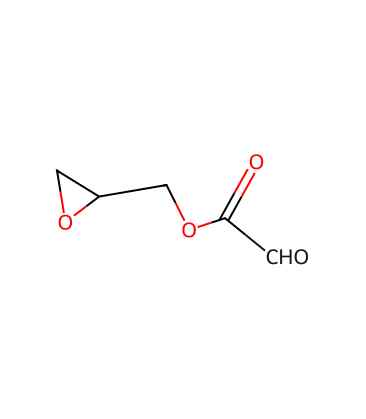 O=CC(=O)OCC1CO1